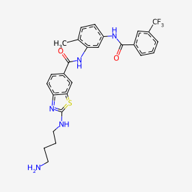 Cc1ccc(NC(=O)c2cccc(C(F)(F)F)c2)cc1NC(=O)c1ccc2nc(NCCCCN)sc2c1